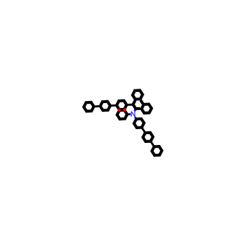 c1ccc(-c2ccc(-c3ccc(-c4c(N(c5ccccc5)c5ccc(-c6ccc(-c7ccccc7)cc6)cc5)c5ccccc5c5ccccc45)cc3)cc2)cc1